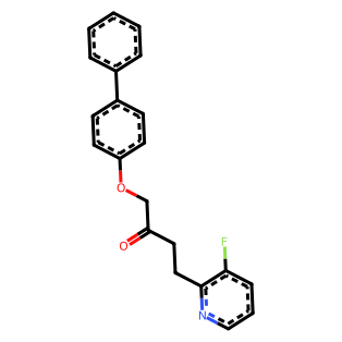 O=C(CCc1ncccc1F)COc1ccc(-c2ccccc2)cc1